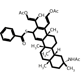 CC(=O)N[C@]1(C)CC[C@]2(C)CC[C@]3(C)C4=CC(SC(=O)c5ccccc5)C(C(/C)=C/OC(C)=O)=C(/C=C/OC(C)=O)[C@]4(C)CC[C@@]3(C)[C@@H]2C1